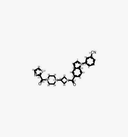 N#Cc1cccc(-n2ccc3cc(C(=O)N4CC(N5CCN(C(=O)c6nccs6)CC5)C4)ccc32)c1